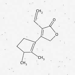 C=CC1=C(C2=C(C)C(C)CC2)COC1=O